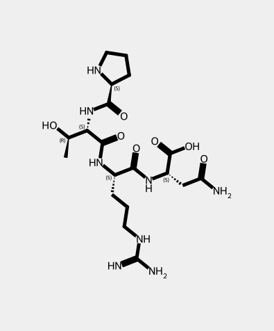 C[C@@H](O)[C@H](NC(=O)[C@@H]1CCCN1)C(=O)N[C@@H](CCCNC(=N)N)C(=O)N[C@@H](CC(N)=O)C(=O)O